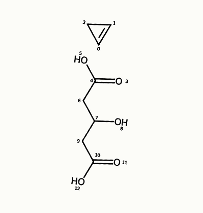 C1=CC1.O=C(O)CC(O)CC(=O)O